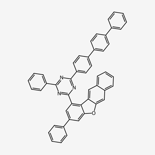 c1ccc(-c2ccc(-c3ccc(-c4nc(-c5ccccc5)nc(-c5cc(-c6ccccc6)cc6oc7cc8ccccc8cc7c56)n4)cc3)cc2)cc1